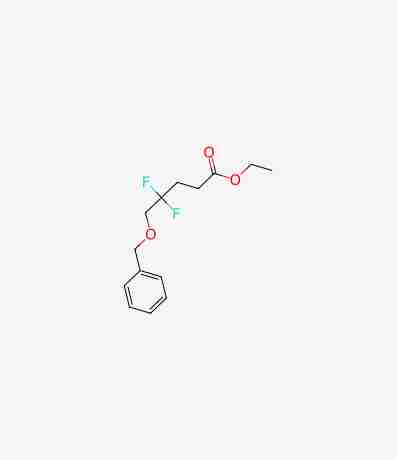 CCOC(=O)CCC(F)(F)COCc1ccccc1